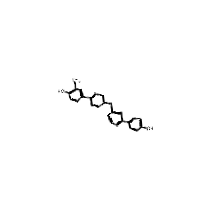 Cc1cc(-c2ccc(Cc3cccc(-c4ccc(O)cc4)c3)cc2)ccc1O